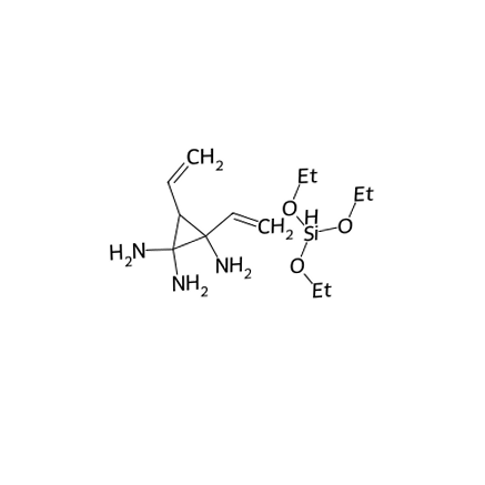 C=CC1C(N)(N)C1(N)C=C.CCO[SiH](OCC)OCC